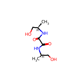 C[C@H](CO)NC(=O)C(=O)N[C@H](C)CO